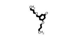 CCCCOCC1=CC(=O)C[C@@H](OCCCC)C1